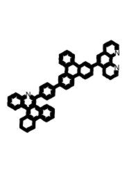 C1=CC2C=C(C3=CC4c5ccccc5-c5cc(-c6ccc(-c7nc8ccccc8c8c9c(c%10ccccc%10c78)C=CCC9)cc6)ccc5C4C=C3)C3=C(N=CCC3)C2N=C1